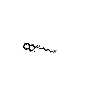 BrCCCCCOc1cc2ccccc2cn1